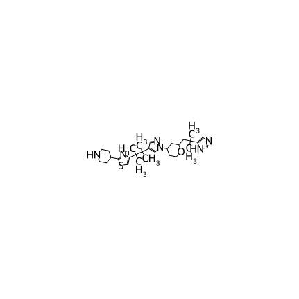 CC(C)(CC1CC(n2cc(C(C)(C)C(C)(C)c3csc(C4CCNCC4)n3)cn2)CCO1)c1cnc[nH]1